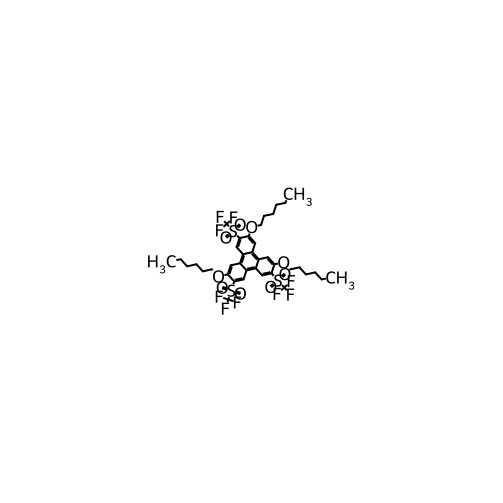 CCCCCCOc1cc2c3cc(OCCCCCC)c(S(=O)(=O)C(F)(F)F)cc3c3cc(S(=O)(=O)C(F)(F)F)c(OCCCCCC)cc3c2cc1S(=O)(=O)C(F)(F)F